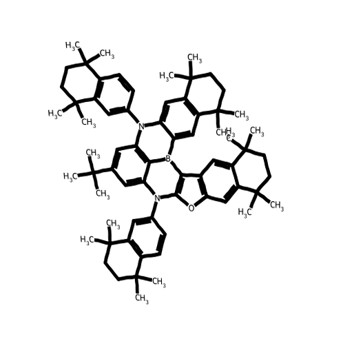 CC(C)(C)c1cc2c3c(c1)N(c1ccc4c(c1)C(C)(C)CCC4(C)C)c1oc4cc5c(cc4c1B3c1cc3c(cc1N2c1ccc2c(c1)C(C)(C)CCC2(C)C)C(C)(C)CCC3(C)C)C(C)(C)CCC5(C)C